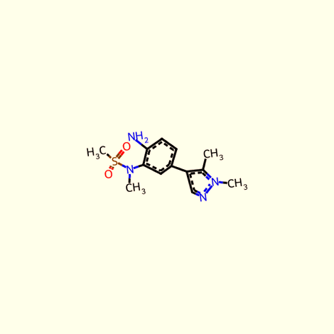 Cc1c(-c2ccc(N)c(N(C)S(C)(=O)=O)c2)cnn1C